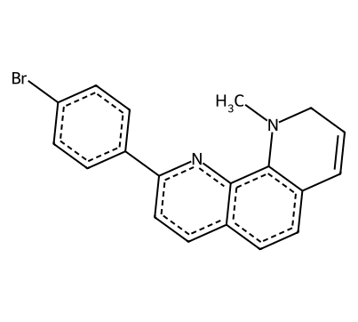 CN1CC=Cc2ccc3ccc(-c4ccc(Br)cc4)nc3c21